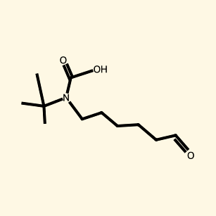 CC(C)(C)N(CCCCCC=O)C(=O)O